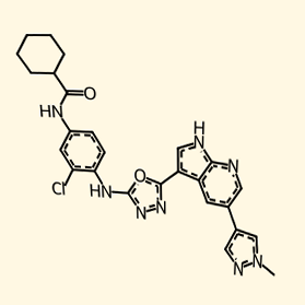 Cn1cc(-c2cnc3[nH]cc(-c4nnc(Nc5ccc(NC(=O)C6CCCCC6)cc5Cl)o4)c3c2)cn1